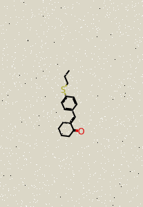 CCCSc1ccc(C=C2CCCCC2=O)cc1